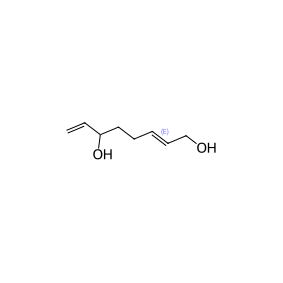 C=CC(O)CC/C=C/CO